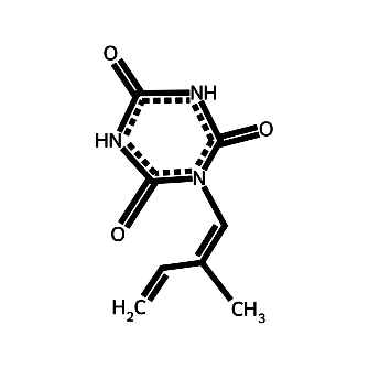 C=CC(C)=Cn1c(=O)[nH]c(=O)[nH]c1=O